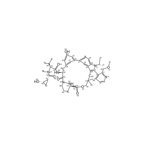 CCn1c(-c2cccnc2[C@H](C)OC)c2c3cc(ccc31)-c1cc(O)cc(c1)C[C@H](NC(=O)[C@H](C(C)C)N(C)C(=O)[C@@H]1C[C@@H]1O)C(=O)N1CCC[C@H](N1)C(=O)OCC(C)(C)C2